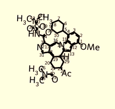 COc1ccc(C2CCCCC2)c2c1cc1n2C=C2C(=C3C[C@@H](C(=O)N(C)C)C(C(C)=O)C[C@H]31)C=NC2C(=O)NS(=O)(=O)N(C)C